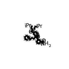 CC(C)CCN(CCC(C)C)C(=O)c1ccn2nc(-c3cccc(C(N)=O)c3)c(CCCN3CCCCC3)c2c1